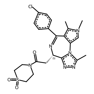 Cc1c2c(cn1C)-n1c(C)nnc1[C@H](CC(=O)N1CCS(=O)(=O)CC1)N=C2c1ccc(Cl)cc1